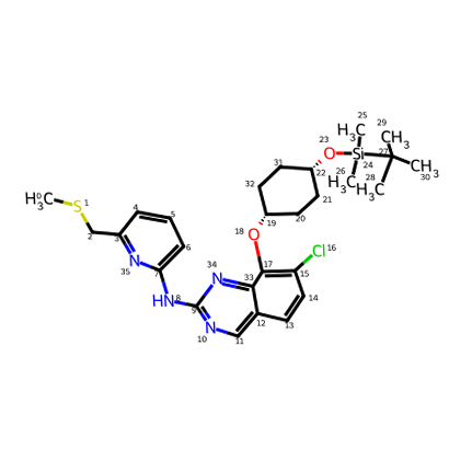 CSCc1cccc(Nc2ncc3ccc(Cl)c(O[C@H]4CC[C@@H](O[Si](C)(C)C(C)(C)C)CC4)c3n2)n1